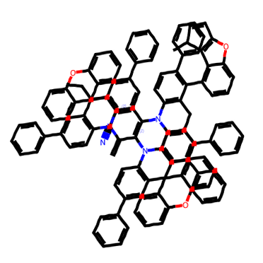 C=C(/C(=C(\C=C(/C#N)CCCC)N1c2ccc(-c3ccccc3)cc2Cc2c1ccc(-c1ccccc1)c2-c1cccc2oc3c(c12)C(C)C=C3)N1c2ccc(-c3ccccc3)cc2C2(c3ccccc3Oc3ccccc32)c2cc(-c3ccccc3)ccc21)N1c2ccc(-c3ccccc3)cc2C2(c3ccccc3Oc3ccccc32)c2cc(-c3ccccc3)ccc21